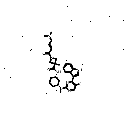 CN(C)C/C=C/C(=O)N1CC(C)(C(=O)N[C@H]2CCC[C@@H](Nc3ncc(Cl)c(-c4c[nH]c5ccccc45)n3)C2)C1